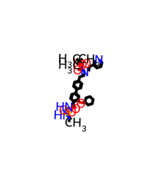 CCNS(=O)(=O)NC(=O)c1ccc(-c2ccc(CCN(C[C@H](O)c3cccnc3)C(=O)OC(C)(C)C)cc2)cc1OC1CCCCC1